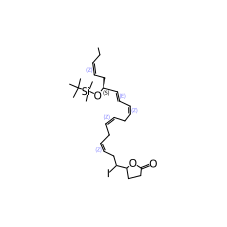 CC/C=C\C[C@@H](/C=C/C=C\C/C=C\C/C=C\CC(I)C1CCC(=O)O1)O[Si](C)(C)C(C)(C)C